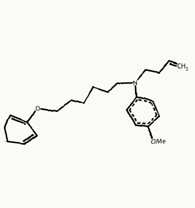 C=CCCN(CCCCCCOC1=CC[CH]C=C1)c1ccc(OC)cc1